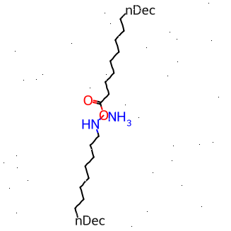 CCCCCCCCCCCCCCCCCCNOC(=O)CCCCCCCCCCCCCCCCCC.N